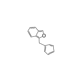 c1ccc(Cc2occ3ccccc23)cc1